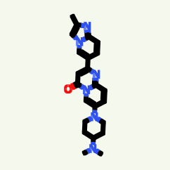 Cc1cn2cc(-c3cc(=O)n4cc(N5CCC(N(C)C)CC5)ccc4n3)ccc2n1